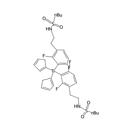 CCCCS(=O)(=O)NCCc1ccc(F)[c]([Ti]([C]2=CC=CC2)([C]2=CC=CC2)[c]2c(F)ccc(CCNS(=O)(=O)CCCC)c2F)c1F